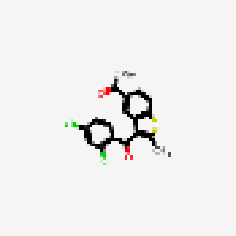 COC(=O)c1ccc2sc(C)c(C(=O)c3ccc(Cl)cc3Cl)c2c1